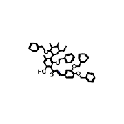 CCC1CC(c2c(C)cc(O)c(C(=O)/C=C/c3ccc(OCc4ccccc4)c(OCc4ccccc4)c3)c2OCc2ccccc2)C(OCc2ccccc2)C(C)C1C